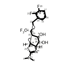 CN(C)C1=N[C@@H]2[C@@H](O)[C@H](O)[C@@H]([C@@H](OCc3cccc(F)c3F)C(F)(F)F)O[C@@H]2S1